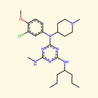 CCCC(CCC)Nc1nc(NC)nc(N(c2ccc(OC)c(Cl)c2)C2CCN(C)CC2)n1